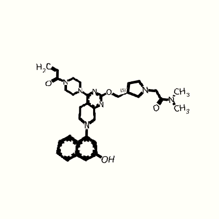 C=CC(=O)N1CCN(c2nc(OC[C@H]3CCN(CC(=O)N(C)C)C3)nc3c2CCN(c2cc(O)cc4ccccc24)C3)CC1